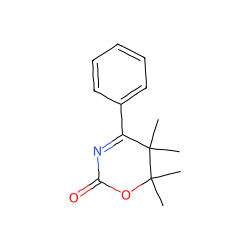 CC1(C)OC(=O)N=C(c2ccccc2)C1(C)C